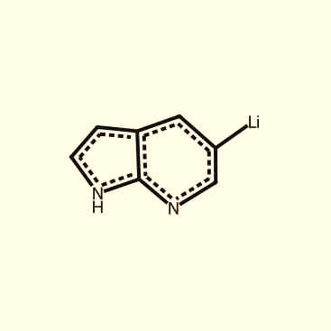 [Li][c]1cnc2[nH]ccc2c1